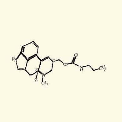 CCCNC(=O)OC[C@@H]1C=C2c3cccc4[nH]cc(c34)C[C@H]2N(C)C1